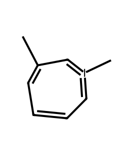 CC1=CC=CC=I(C)=C1